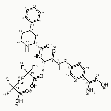 C[C@H](NC(=O)[C@H]1C[C@@H](c2ccccc2)CCN1)C(=O)NCc1ccc(/C(N)=N/O)cc1.O=C(O)C(F)(F)F.O=C(O)C(F)(F)F